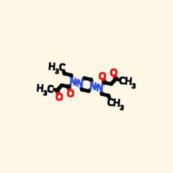 CCCN(C(=O)CC(C)=O)N1CCN(N(CCC)C(=O)CC(C)=O)CC1